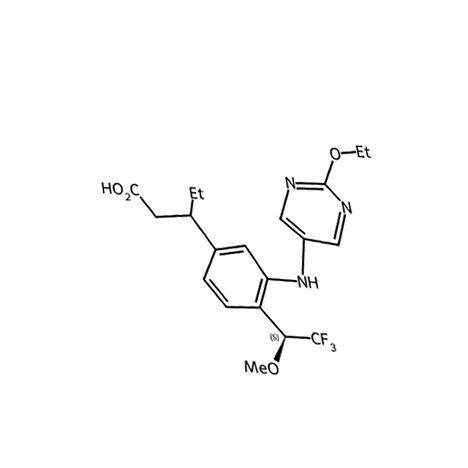 CCOc1ncc(Nc2cc(C(CC)CC(=O)O)ccc2[C@H](OC)C(F)(F)F)cn1